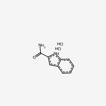 Cl.Cl.NC(=O)c1cc2ccccc2[nH]1